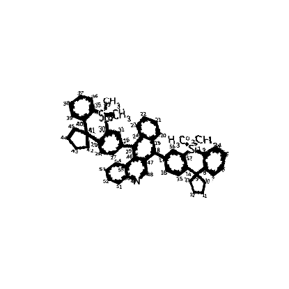 C[Si]1(C)c2ccccc2C2(CCCC2)c2ccc(-c3c4ccccc4c(-c4ccc5c(c4)[Si](C)(C)c4ccccc4C54CCCC4)c4c3cnc3ccccc34)cc21